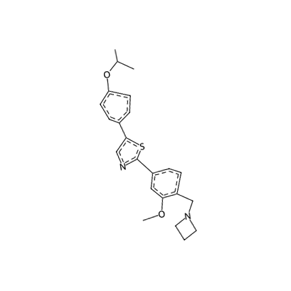 COc1cc(-c2ncc(-c3ccc(OC(C)C)cc3)s2)ccc1CN1CCC1